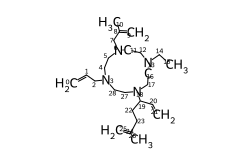 C=CCN1CCN(CC(=C)C)CCN(CC)CCN(C(C=C)CCC(=C)C)CC1